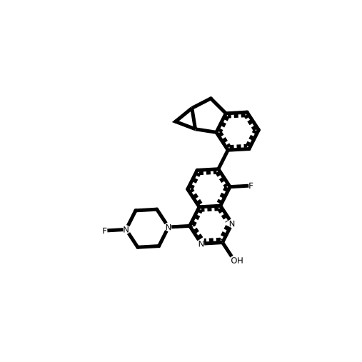 Oc1nc(N2CCN(F)CC2)c2ccc(-c3cccc4c3C3CC3C4)c(F)c2n1